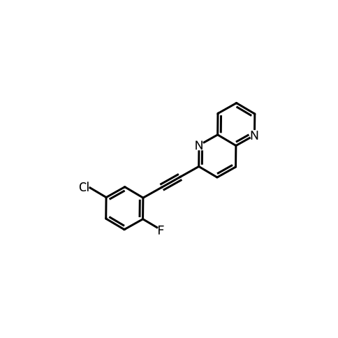 Fc1ccc(Cl)cc1C#Cc1ccc2ncccc2n1